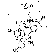 CCOc1cc(C(C)(C)C#N)ccc1C1=N[C@@](C)(c2ccc(Cl)cc2)[C@@](C)(c2ccc(Cl)cc2)N1C(=O)N1CCN(CCCS(C)(=O)=O)CC1